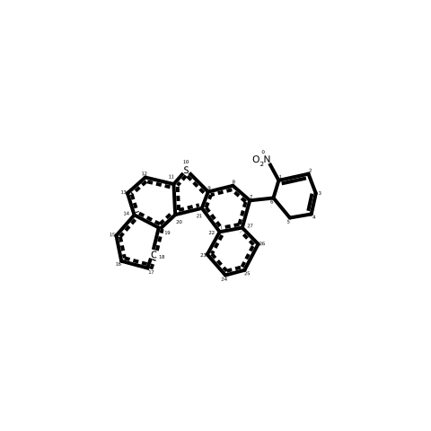 O=[N+]([O-])C1=CC=CCC1c1cc2sc3ccc4ccccc4c3c2c2ccccc12